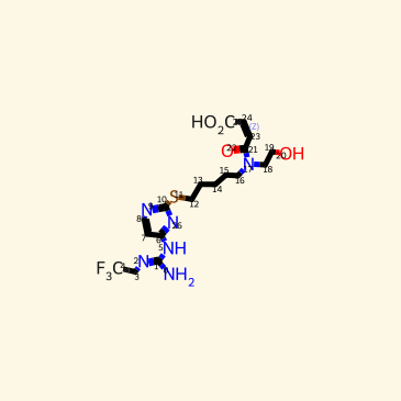 NC(=NCC(F)(F)F)Nc1ccnc(SCCCCCN(CCO)C(=O)/C=C\C(=O)O)n1